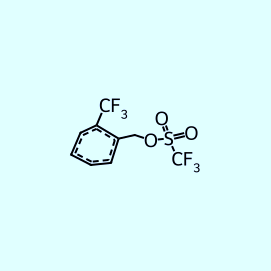 O=S(=O)(OCc1ccccc1C(F)(F)F)C(F)(F)F